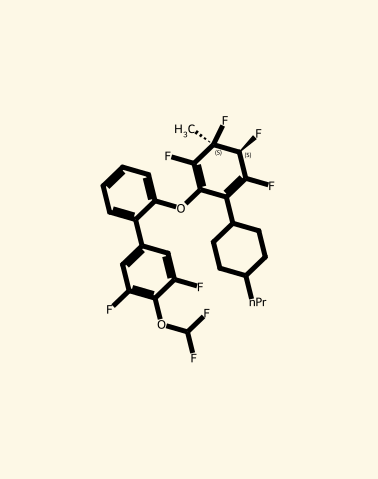 CCCC1CCC(C2=C(F)[C@H](F)[C@](C)(F)C(F)=C2Oc2ccccc2-c2cc(F)c(OC(F)F)c(F)c2)CC1